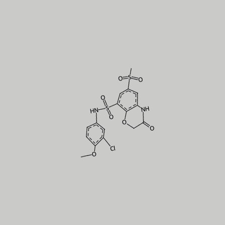 COc1ccc(NS(=O)(=O)c2cc(S(C)(=O)=O)cc3c2OCC(=O)N3)cc1Cl